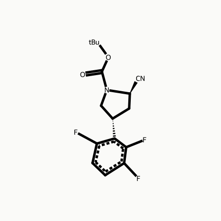 CC(C)(C)OC(=O)N1C[C@@H](c2c(F)ccc(F)c2F)C[C@@H]1C#N